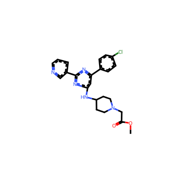 COC(=O)CN1CCC(Nc2cc(-c3ccc(Cl)cc3)nc(-c3cccnc3)n2)CC1